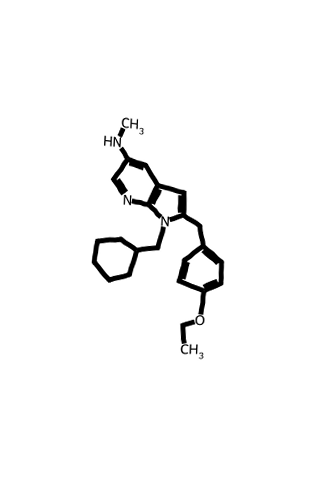 CCOc1ccc(Cc2cc3cc(NC)cnc3n2CC2CCCCC2)cc1